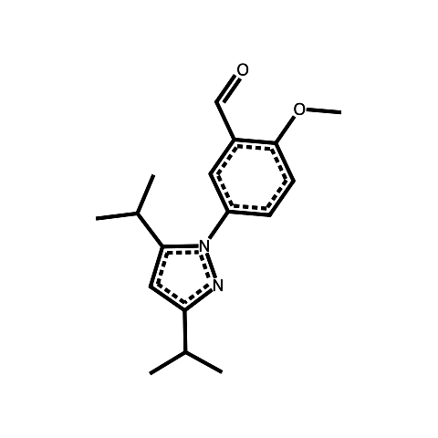 COc1ccc(-n2nc(C(C)C)cc2C(C)C)cc1C=O